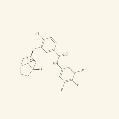 C[C@@]1(O)C2CC[C@H]1C[C@H](Sc1cc(C(=O)Nc3cc(F)c(F)c(F)c3)ccc1Cl)C2